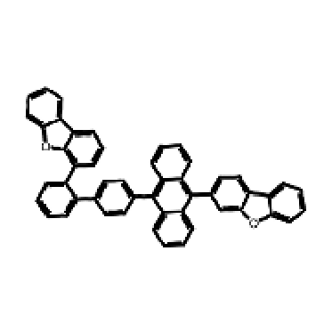 c1ccc(-c2cccc3c2oc2ccccc23)c(-c2ccc(-c3c4ccccc4c(-c4ccc5c(c4)oc4ccccc45)c4ccccc34)cc2)c1